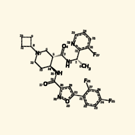 C[C@H](NC(=O)[C@H]1CN(C2CCC2)CC[C@@H]1NC(=O)c1cc(-c2ccc(F)cc2F)on1)c1ncccc1F